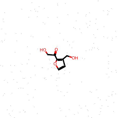 O=C(CO)c1occc1CO